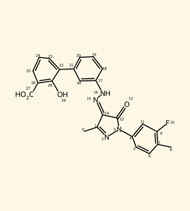 CC1=NN(c2ccc(C)c(F)c2)C(=O)C1=NNc1cccc(-c2cccc(C(=O)O)c2O)c1